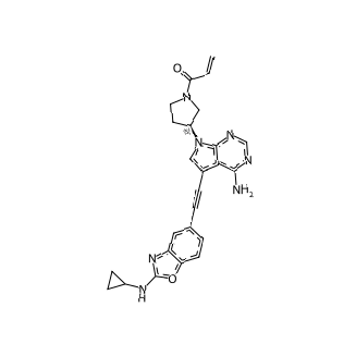 C=CC(=O)N1CC[C@H](n2cc(C#Cc3ccc4oc(NC5CC5)nc4c3)c3c(N)ncnc32)C1